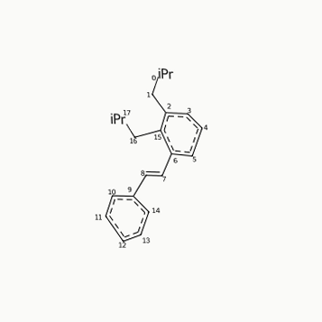 CC(C)Cc1cccc(C=Cc2ccccc2)c1CC(C)C